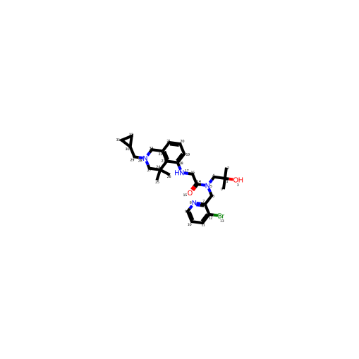 CC(C)(O)CN(Cc1ncccc1Br)C(=O)CNc1cccc2c1C(C)(C)CN(CC1CC1)C2